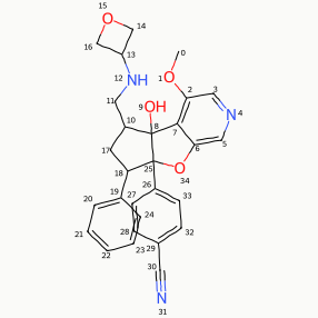 COc1cncc2c1C1(O)C(CNC3COC3)CC(c3ccccc3)C1(c1ccc(C#N)cc1)O2